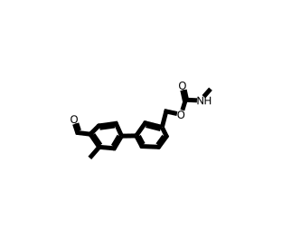 CNC(=O)OCc1cccc(-c2ccc(C=O)c(C)c2)c1